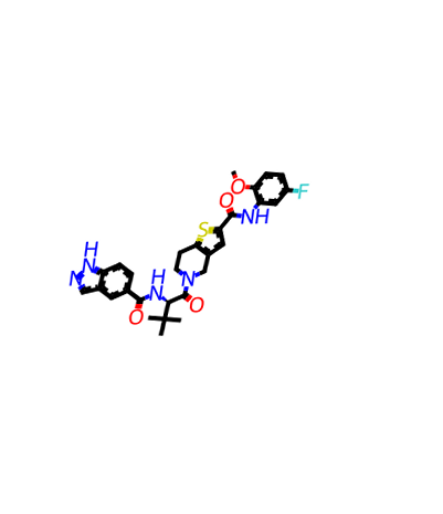 COc1ccc(F)cc1NC(=O)c1cc2c(s1)CCN(C(=O)[C@H](NC(=O)c1ccc3[nH]ncc3c1)C(C)(C)C)C2